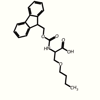 CCCCOCC(NC(=O)OCC1c2ccccc2-c2ccccc21)C(=O)O